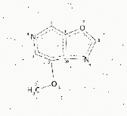 COc1cncc2ocnc12